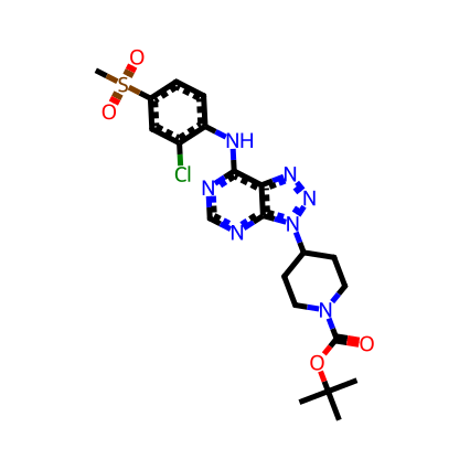 CC(C)(C)OC(=O)N1CCC(n2nnc3c(Nc4ccc(S(C)(=O)=O)cc4Cl)ncnc32)CC1